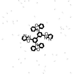 c1ccc2c(c1)Oc1ccccc1N2c1cc(-c2cc(-c3nc4ncccc4o3)cc(N3c4ccccc4Oc4ccccc43)c2)cc(-c2nc3ncccc3o2)c1